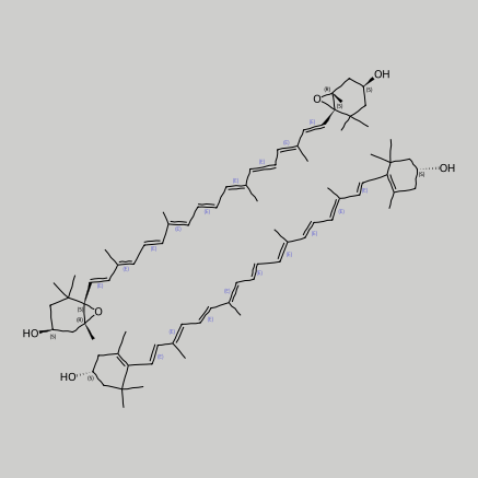 CC(/C=C/C=C(C)/C=C/[C@@]12O[C@]1(C)C[C@@H](O)CC2(C)C)=C\C=C\C=C(C)\C=C\C=C(C)\C=C\[C@@]12O[C@]1(C)C[C@@H](O)CC2(C)C.CC1=C(/C=C/C(C)=C/C=C/C(C)=C/C=C/C=C(C)/C=C/C=C(C)/C=C/C2=C(C)C[C@@H](O)CC2(C)C)C(C)(C)C[C@H](O)C1